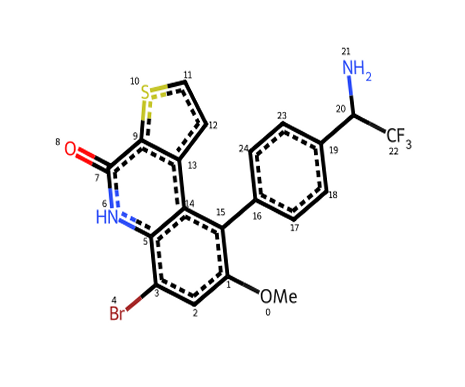 COc1cc(Br)c2[nH]c(=O)c3sccc3c2c1-c1ccc(C(N)C(F)(F)F)cc1